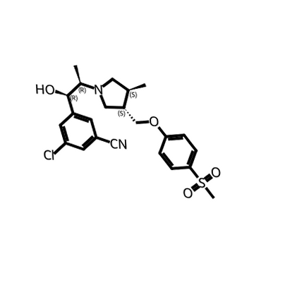 C[C@@H]1CN([C@H](C)[C@H](O)c2cc(Cl)cc(C#N)c2)C[C@H]1COc1ccc(S(C)(=O)=O)cc1